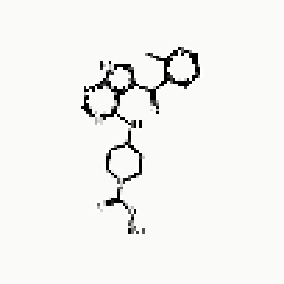 Cc1ccccc1C(=O)c1c[nH]c2ncnc(NC3CCN(C(=O)OC(C)(C)C)CC3)c12